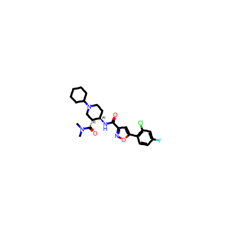 CN(C)C(=O)[C@@H]1CN(C2CCCCC2)CC[C@H]1NC(=O)c1cc(-c2ccc(F)cc2Cl)on1